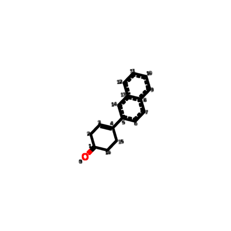 O=C1CC=C(c2ccc3ccccc3c2)CC1